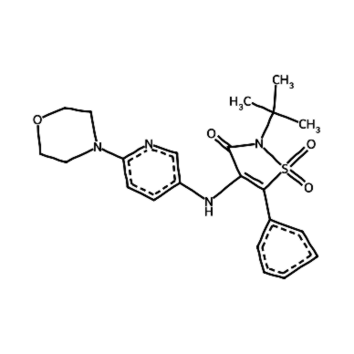 CC(C)(C)N1C(=O)C(Nc2ccc(N3CCOCC3)nc2)=C(c2ccccc2)S1(=O)=O